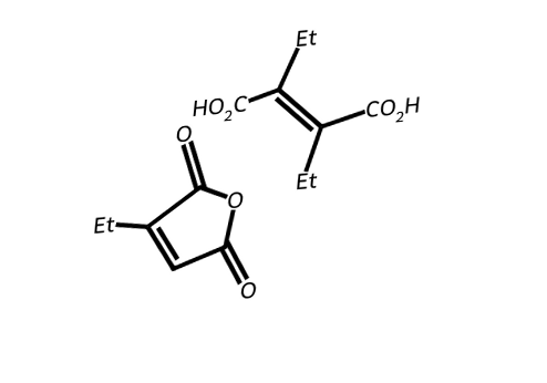 CCC(C(=O)O)=C(CC)C(=O)O.CCC1=CC(=O)OC1=O